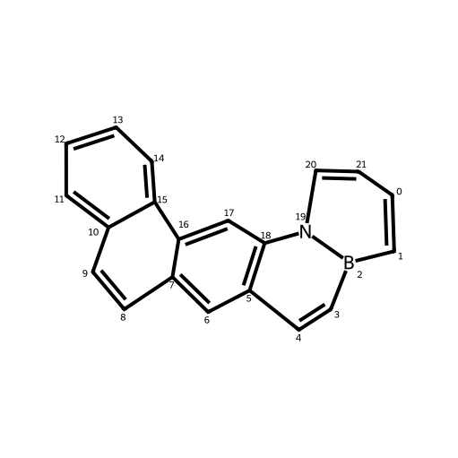 C1=CB2C=Cc3cc4ccc5ccccc5c4cc3N2C=C1